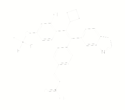 O=C(O)/C=C/c1ccc(/C(=C(\c2ccc(OC(F)(F)F)cc2Cl)C2CCC2)c2ccc3scnc3c2)cc1